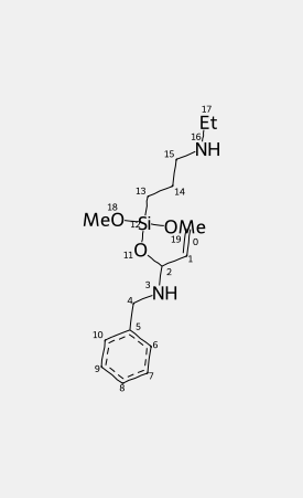 C=CC(NCc1ccccc1)O[Si](CCCNCC)(OC)OC